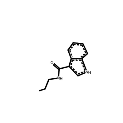 CCCNC(=O)c1c[nH]c2ccccc12